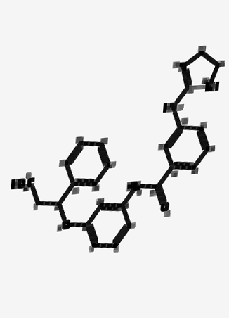 O=C(O)CC(Oc1cccc(NC(=O)c2cccc(NC3=NCCN3)c2)c1)c1ccccc1